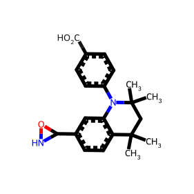 CC1(C)CC(C)(C)N(c2ccc(C(=O)O)cc2)c2cc(C3NO3)ccc21